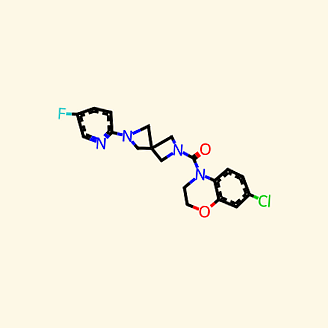 O=C(N1CC2(C1)CN(c1ccc(F)cn1)C2)N1CCOc2cc(Cl)ccc21